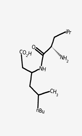 CCCCC(C)CC(CC(=O)O)NC(=O)[C@@H](N)CC(C)C